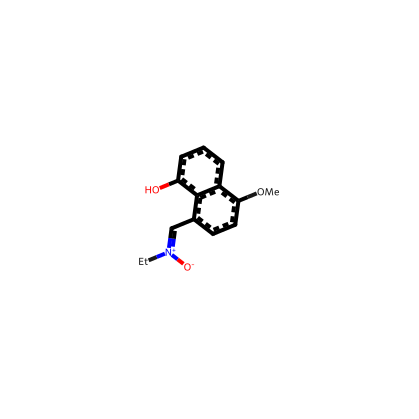 CC/[N+]([O-])=C/c1ccc(OC)c2cccc(O)c12